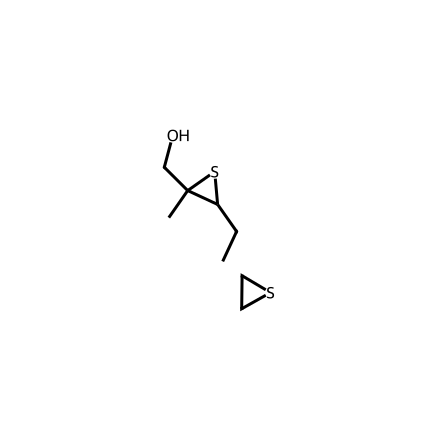 C1CS1.CCC1SC1(C)CO